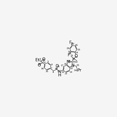 CCS(=O)(=O)c1ccc(CC(=O)Nc2ccc3c(c2)nc(C(C)(C)Oc2ccc(F)cc2F)n3CC(C)C)cc1